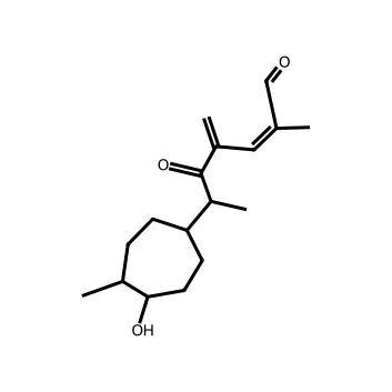 C=C(/C=C(/C)C=O)C(=O)C(C)C1CCC(C)C(O)CC1